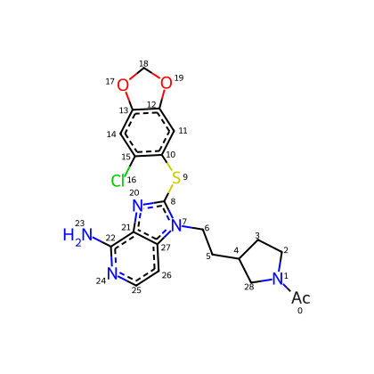 CC(=O)N1CCC(CCn2c(Sc3cc4c(cc3Cl)OCO4)nc3c(N)nccc32)C1